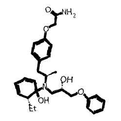 CC[C@@H]1C=CC=CC1(O)N(C[C@H](O)COc1ccccc1)[C@H](C)Cc1ccc(OCC(N)=O)cc1